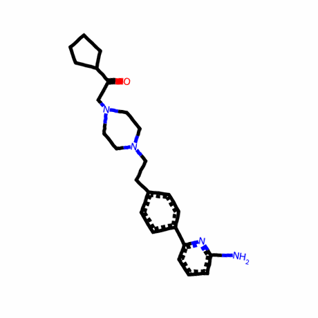 Nc1cccc(-c2ccc(CCN3CCN(CC(=O)C4CCCC4)CC3)cc2)n1